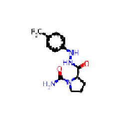 NC(=O)N1CCCC1C(=O)NNc1ccc(C(F)(F)F)cc1